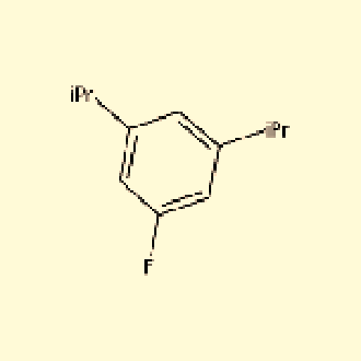 CC(C)c1cc(F)cc(C(C)C)c1